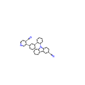 N#Cc1ccc2c(c1)c1ccccc1n2-c1ccccc1-c1cccc(-c2cnccc2C#N)c1